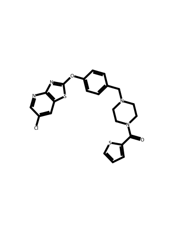 O=C(c1cccs1)N1CCN(Cc2ccc(Oc3nc4ncc(Cl)cc4s3)cc2)CC1